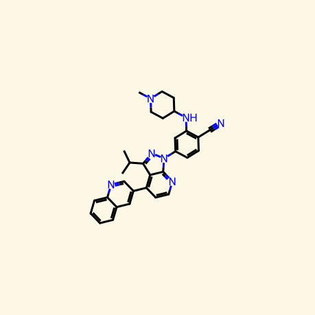 CC(C)c1nn(-c2ccc(C#N)c(NC3CCN(C)CC3)c2)c2nccc(-c3cnc4ccccc4c3)c12